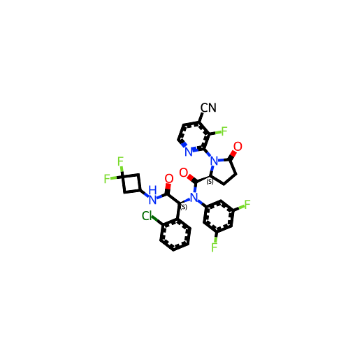 N#Cc1ccnc(N2C(=O)CC[C@H]2C(=O)N(c2cc(F)cc(F)c2)[C@H](C(=O)NC2CC(F)(F)C2)c2ccccc2Cl)c1F